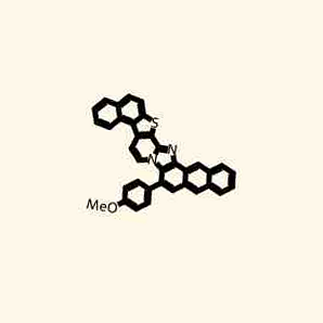 COc1ccc(-c2cc3cc4ccccc4cc3c3nc4c5sc6ccc7ccccc7c6c5ccn4c23)cc1